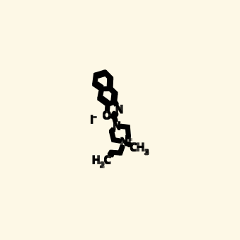 C=CC[N+]1(C)CCN(c2nc3cc4ccccc4cc3o2)CC1.[I-]